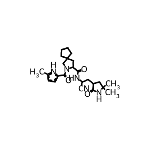 Cc1ccc(C(=O)N2CC3(CCCC3)CC2C(=O)NC(C#N)CC2CC(C)(C)NC2=O)[nH]1